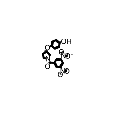 O=C(c1cc([N+](=O)[O-])cc([N+](=O)[O-])c1)N1CC[C@@H](Oc2ccc(O)cc2)C1